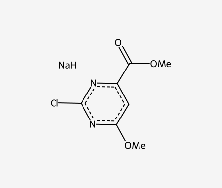 COC(=O)c1cc(OC)nc(Cl)n1.[NaH]